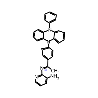 C/C(=N\c1ncccc1N)c1ccc(N2c3ccccc3N(c3ccccc3)c3ccccc32)cc1